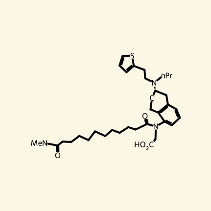 CCCN(CCc1cccs1)[C@H]1CCc2c(cccc2N(CC(=O)O)C(=O)CCCCCCCCCCC(=O)NC)C1